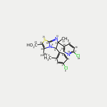 Cc1cc(Cl)ccc1C1N2C(=NC1(C)c1ccc(Cl)nc1)SC(C(=O)O)=C2C(C)C